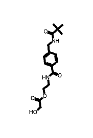 CC(C)(C)C(=O)NCc1ccc(C(=O)NCCOC(=O)CO)cc1